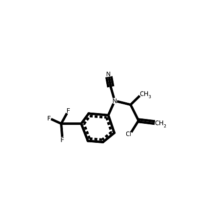 C=C(Cl)C(C)N(C#N)c1cccc(C(F)(F)F)c1